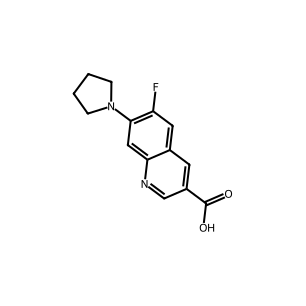 O=C(O)c1cnc2cc(N3CCCC3)c(F)cc2c1